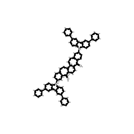 O=c1c2ccc(-n3c4ccc(-c5ccccc5)cc4c4cc(-c5ccccc5)ccc43)cc2ccc2c1ccc1c(=O)c3cc(-n4c5ccc(-c6ccccc6)cc5c5cc(-c6ccccc6)ccc54)ccc3ccc12